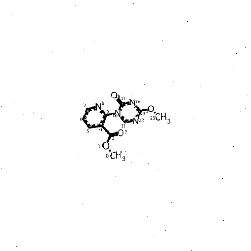 COC(=O)c1cccnc1-n1cnc(OC)nc1=O